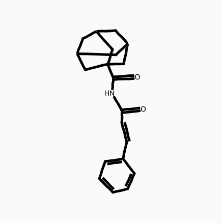 O=C(/C=C/c1ccccc1)NC(=O)C12CC3CC(CC(C3)C1)C2